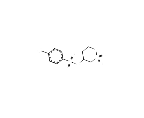 O=S1(=O)CC(OS(=O)(=O)c2ccc(Cl)cc2)CCO1